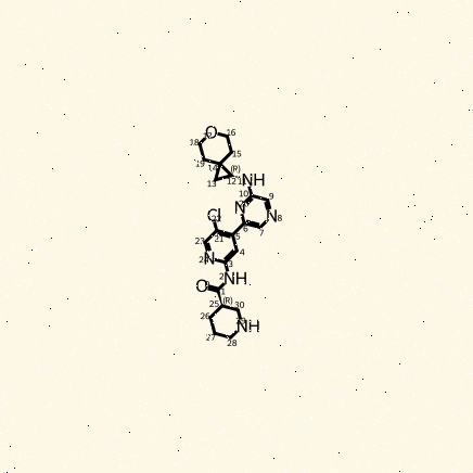 O=C(Nc1cc(-c2cncc(N[C@@H]3CC34CCOCC4)n2)c(Cl)cn1)[C@@H]1CCCNC1